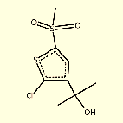 CC(C)(O)c1cc(S(C)(=O)=O)sc1Cl